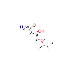 CCC(C)OCC(O)CC(N)=O